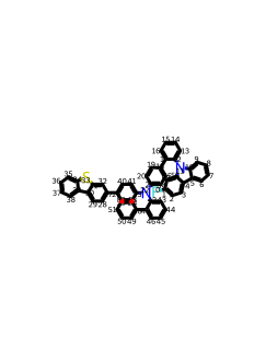 Fc1ccc2c3ccccc3n(-c3ccccc3-c3ccc(N(c4ccc(-c5ccc6c(c5)sc5ccccc56)cc4)c4ccccc4-c4ccccc4)cc3)c2c1